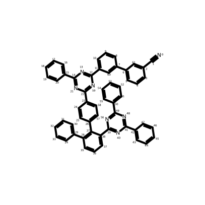 N#Cc1cccc(-c2cccc(-c3nc(-c4ccccc4)nc(-c4ccc(-c5c(-c6ccccc6)cccc5-c5nc(-c6ccccc6)nc(-c6ccccc6)n5)cc4)n3)c2)c1